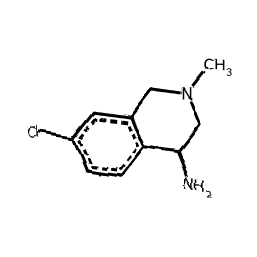 CN1Cc2cc(Cl)ccc2C(N)C1